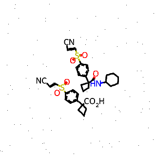 N#C/C=C/S(=O)(=O)c1ccc(C2(C(=O)NC3CCCCC3)CCC2)cc1.N#C/C=C/S(=O)(=O)c1ccc(C2(C(=O)O)CCC2)cc1